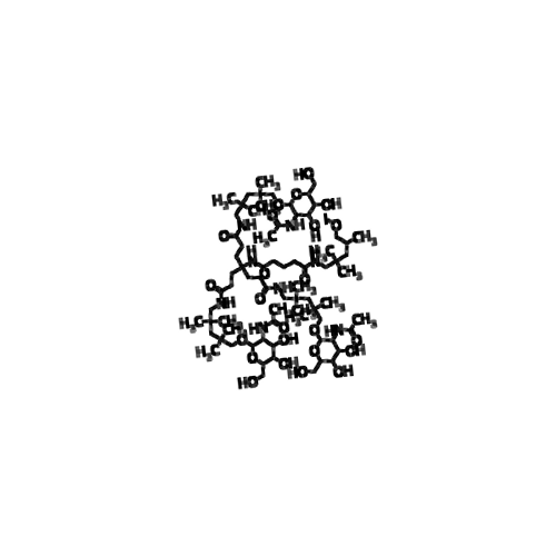 CC(=O)NC1C(OCC(C)(C)CC(C)(C)CNC(=O)CCC(CCC(=O)NCC(C)(C)CC(C)(C)COC2OC(CO)C(O)C(O)C2NC(C)=O)(CCC(=O)NCC(C)(C)CC(C)(C)COC2OC(CO)C(O)C(O)C2NC(C)=O)NC(=O)CCCC(=O)NCC(C)(C)CC(C)COI)OC(CO)C(O)C1O